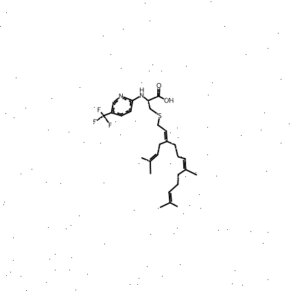 CC(C)=CCCC(C)=CCCC(=CCSCC(Nc1ccc(C(F)(F)F)cn1)C(=O)O)CC=C(C)C